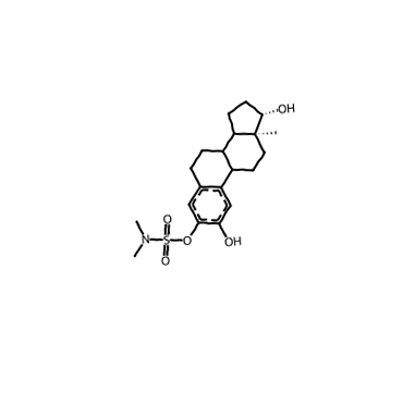 CN(C)S(=O)(=O)Oc1cc2c(cc1O)C1CC[C@@]3(C)C(CC[C@@H]3O)C1CC2